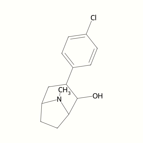 CN1C2CCC1C(O)C(c1ccc(Cl)cc1)C2